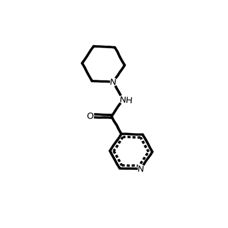 O=C(NN1CCCCC1)c1ccncc1